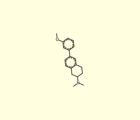 COc1cccc(-c2ccc3c(c2)CCC(N(C)C)C3)c1